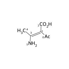 CC(=O)C(C(=O)O)=C(C)N